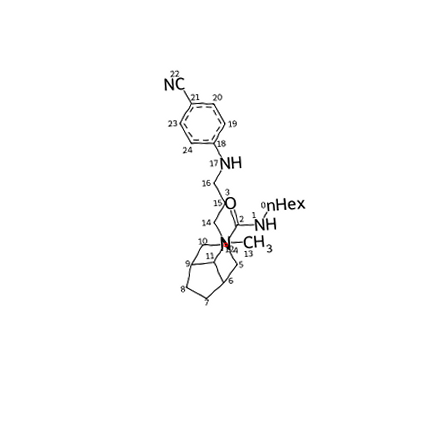 CCCCCCNC(=O)N1CC2CCC(C1)C2N(C)CCCNc1ccc(C#N)cc1